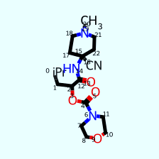 CC(C)CC(OC(=O)N1CCOCC1)C(=O)NC1(C#N)CCN(C)CC1